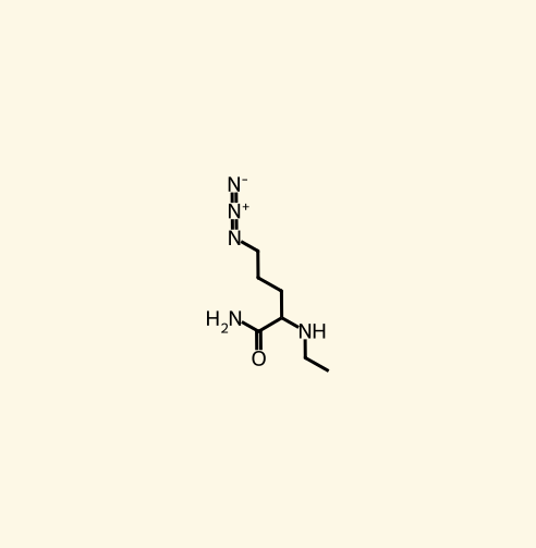 CCNC(CCCN=[N+]=[N-])C(N)=O